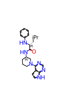 CC(C)C[C@@H](Nc1ccccc1)C(=O)N[C@@H]1CCCN(c2ncnc3[nH]ccc23)C1